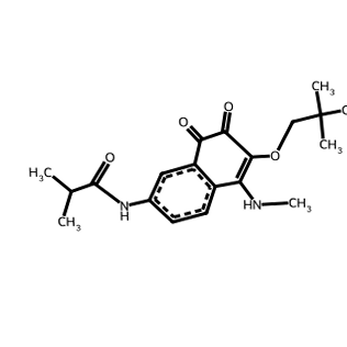 CNC1=C(OCC(C)(C)C)C(=O)C(=O)c2cc(NC(=O)C(C)C)ccc21